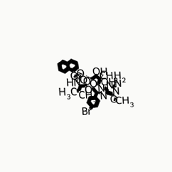 COc1nc(N)nc2c1ncn2C1O[C@H](COP(=O)(N[C@H](C(=O)OCCc2ccc(Br)cc2)C(C)C)Oc2cccc3ccccc23)[C@@H](O)[C@@]1(C)O